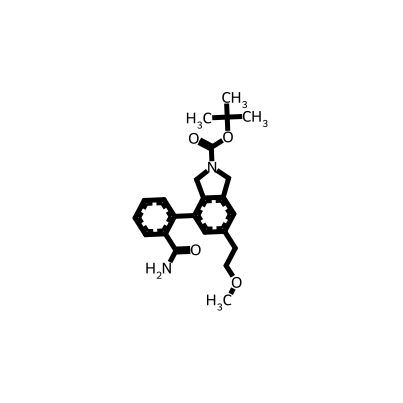 COCCc1cc2c(c(-c3ccccc3C(N)=O)c1)CN(C(=O)OC(C)(C)C)C2